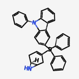 C1=C([Si](c2ccccc2)(c2ccccc2)c2ccc3c(c2)c2ccccc2n3-c2ccccc2)CC2N[C@H]2C1